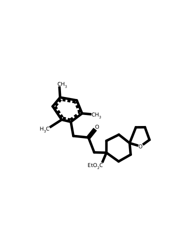 CCOC(=O)C1(CC(=O)Cc2c(C)cc(C)cc2C)CCC2(CCCO2)CC1